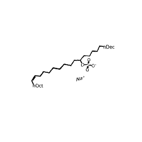 CCCCCCCC/C=C\CCCCCCCCC(CCCCCCCCCCCCCCC)OS(=O)(=O)[O-].[Na+]